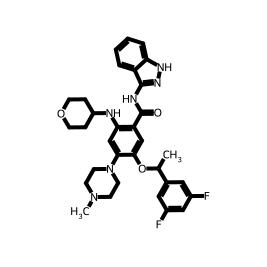 CC(Oc1cc(C(=O)Nc2n[nH]c3ccccc23)c(NC2CCOCC2)cc1N1CCN(C)CC1)c1cc(F)cc(F)c1